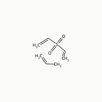 C=CS(=O)(=O)C=C.[CH2]C=C